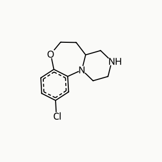 Clc1ccc2c(c1)N1CCNCC1CCO2